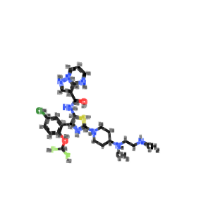 C=NCCN(C)C1CCN(c2nc(-c3cc(Cl)ccc3OC(F)F)c(NC(=O)c3cnn4cccnc34)s2)CC1